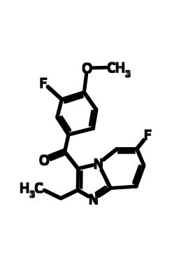 CCc1nc2ccc(F)cn2c1C(=O)c1ccc(OC)c(F)c1